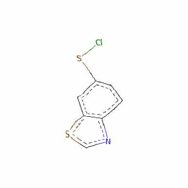 ClSc1ccc2ncsc2c1